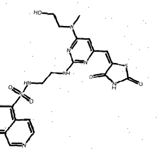 CN(CCO)c1cc(C=C2SC(=O)NC2=O)nc(NCCNS(=O)(=O)c2cccc3cnccc23)n1